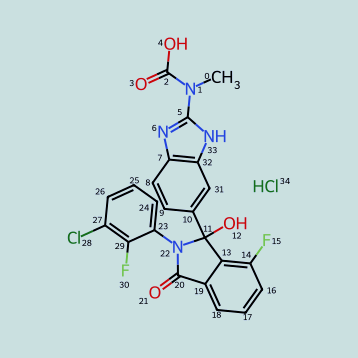 CN(C(=O)O)c1nc2ccc(C3(O)c4c(F)cccc4C(=O)N3c3cccc(Cl)c3F)cc2[nH]1.Cl